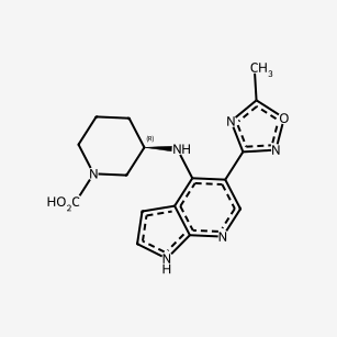 Cc1nc(-c2cnc3[nH]ccc3c2N[C@@H]2CCCN(C(=O)O)C2)no1